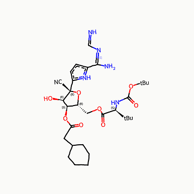 CC(C)(C)OC(=O)N[C@H](C(=O)OC[C@H]1O[C@@](C#N)(c2ccc(/C(N)=N\C=N)[nH]2)[C@H](O)[C@@H]1OC(=O)CC1CCCCC1)C(C)(C)C